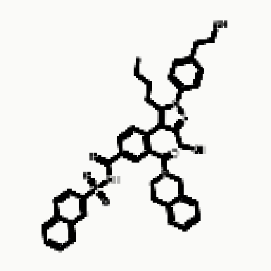 CCCCc1c(-c2ccc(C(=O)NS(=O)(=O)c3ccc4ccccc4c3)cc2C(=O)N2CCc3ccccc3C2)c(CO)nn1-c1ccc(CCO)cc1